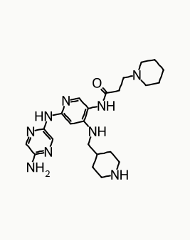 Nc1cnc(Nc2cc(NCC3CCNCC3)c(NC(=O)CCN3CCCCC3)cn2)cn1